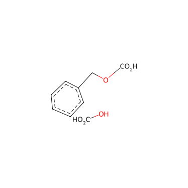 O=C(O)O.O=C(O)OCc1ccccc1